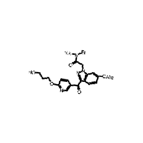 CCCCN(CC)C(=O)Cn1nc(C(=O)c2ccc(OCCCO)nc2)c2ccc(OC)cc21